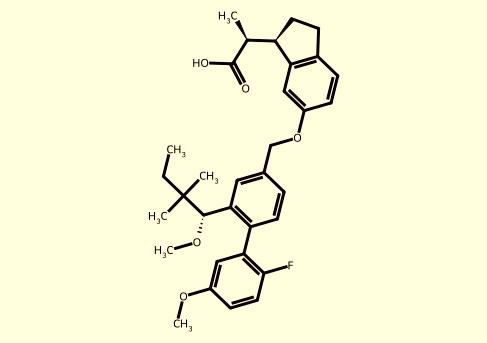 CCC(C)(C)[C@@H](OC)c1cc(COc2ccc3c(c2)[C@@H]([C@H](C)C(=O)O)CC3)ccc1-c1cc(OC)ccc1F